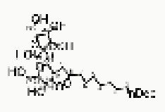 CCCCCCCCCCCCCCCCCC(=O)CC1C(O)[C@H](O)C(CO)O[C@@H]1O[C@]1(CO)O[C@H](CO)C(O)C1O